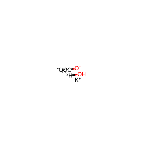 O=C([O-])[O-].[2H]O.[K+].[K+]